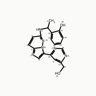 CC(Nc1ccc2ncc(-c3cc(CO)ncn3)n2n1)c1ccccc1O